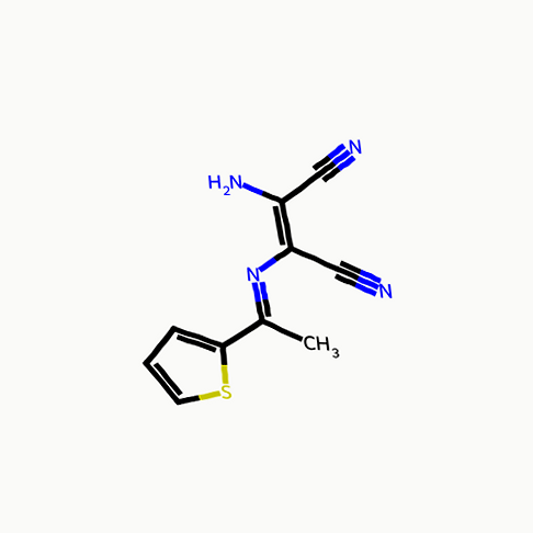 CC(=NC(C#N)=C(N)C#N)c1cccs1